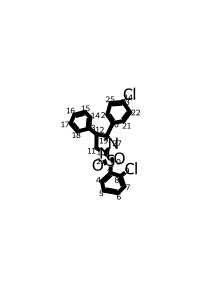 O=S(=O)(c1ccccc1Cl)N1CC(c2ccccc2)C(c2ccc(Cl)cc2)=N1